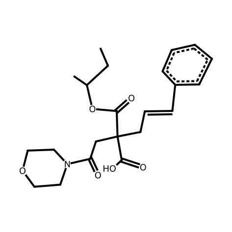 CCC(C)OC(=O)C(CC=Cc1ccccc1)(CC(=O)N1CCOCC1)C(=O)O